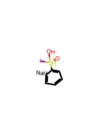 O=[SH](O)(I)c1ccccc1.[NaH]